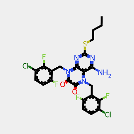 CCCCSc1nc(N)c2c(n1)n(Cc1c(F)ccc(Cl)c1F)c(=O)c(=O)n2Cc1c(F)ccc(Cl)c1F